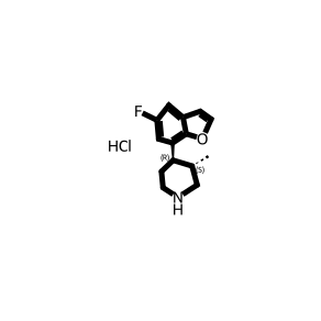 C[C@@H]1CNCC[C@H]1c1cc(F)cc2ccoc12.Cl